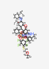 CC(C)c1cccc(C(C)C)c1/N=c1\ccc2c(-c3ccccc3S(=O)(=O)NS(=O)(=O)c3c(F)c(F)c(SCCOC(C)(C)C)c(F)c3F)c3ccc(Nc4c(C(C)C)cccc4C(C)C)cc3oc-2c1